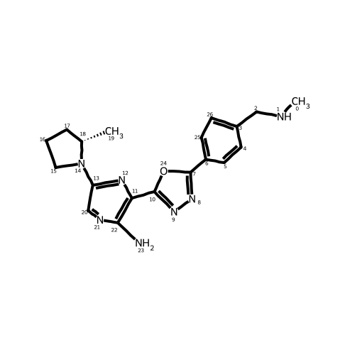 CNCc1ccc(-c2nnc(-c3nc(N4CCC[C@@H]4C)cnc3N)o2)cc1